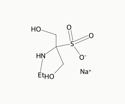 CCNC(CO)(CO)S(=O)(=O)[O-].[Na+]